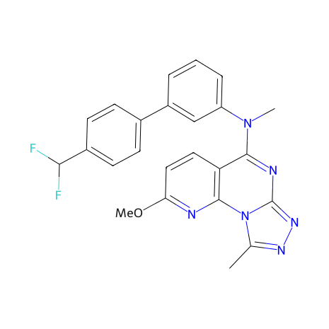 COc1ccc2c(N(C)c3cccc(-c4ccc(C(F)F)cc4)c3)nc3nnc(C)n3c2n1